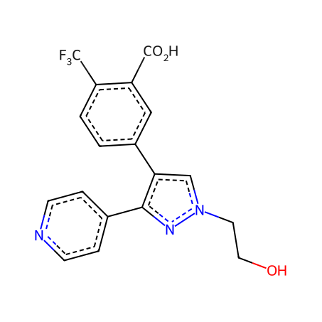 O=C(O)c1cc(-c2cn(CCO)nc2-c2ccncc2)ccc1C(F)(F)F